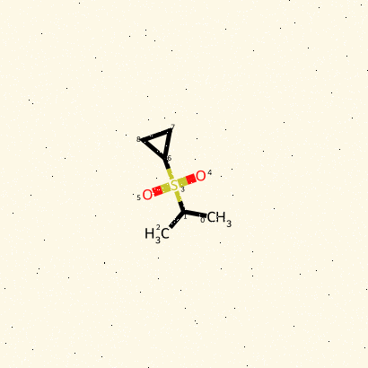 CC(C)S(=O)(=O)C1CC1